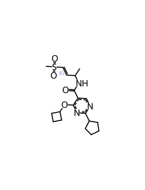 CC(/C=C/S(C)(=O)=O)NC(=O)c1cnc(C2CCCC2)nc1OC1CCC1